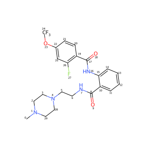 CN1CCN(CCNC(=O)c2ccccc2NC(=O)c2ccc(OC(F)(F)F)cc2F)CC1